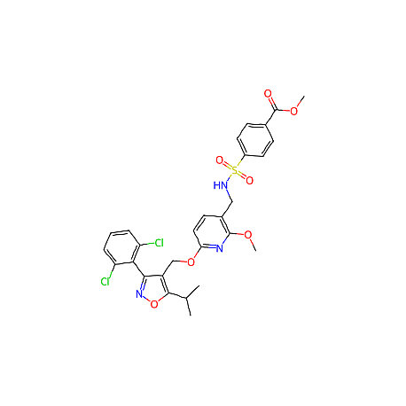 COC(=O)c1ccc(S(=O)(=O)NCc2ccc(OCc3c(-c4c(Cl)cccc4Cl)noc3C(C)C)nc2OC)cc1